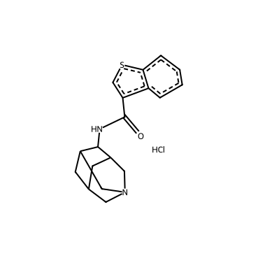 Cl.O=C(NC1C2CC3CC1CN(C3)C2)c1csc2ccccc12